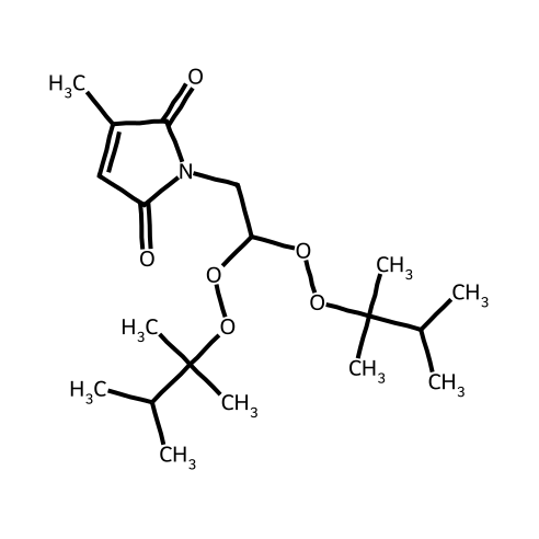 CC1=CC(=O)N(CC(OOC(C)(C)C(C)C)OOC(C)(C)C(C)C)C1=O